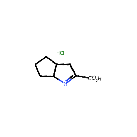 Cl.O=C(O)C1=NC2CCCC2C1